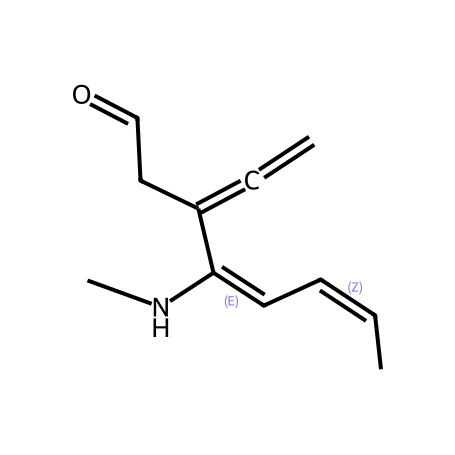 C=C=C(CC=O)/C(=C\C=C/C)NC